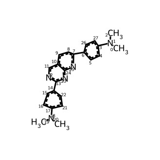 CN(C)c1ccc(-c2ccc3cnc(-c4ccc(N(C)C)cc4)nc3n2)cc1